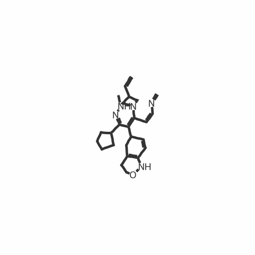 C=CC1CN(C(/C=C\N=C)=C(\C(=N/NC)C2CCCC2)C2C=CC3=C(CCON3)C2)C1